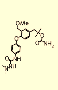 COCc1cc(CC(C)(C)OC(N)=O)ccc1Oc1ccc(NC(=O)NN(C)C)cc1